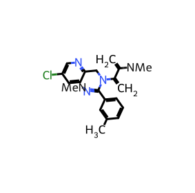 C=C(NC)C(=C)N(Cc1ccc(Cl)cn1)/C(=N\NC)c1cccc(C)c1